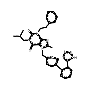 Cc1nc2c(c(=O)n(CC(C)C)c(=O)n2CCc2ccccc2)n1Cc1ccc(-c2ccccc2-c2nnn[nH]2)cc1